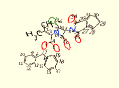 CC(C)=C(C(=O)OC(c1ccccc1)c1ccccc1)N1C(=O)[C@H](N2C(=O)c3ccccc3C2=O)[C@@H]1Cl